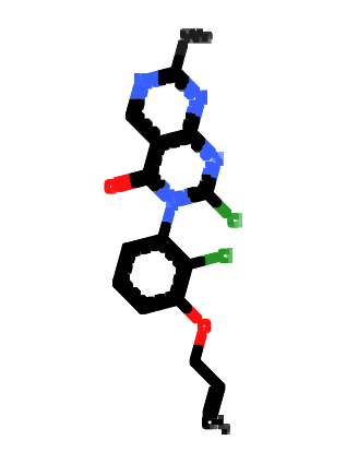 C=CCOc1cccc(-n2c(Cl)nc3nc(SC)ncc3c2=O)c1Cl